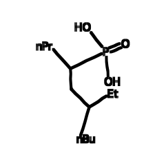 CCCCC(CC)CC(CCC)P(=O)(O)O